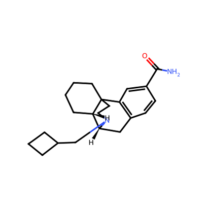 NC(=O)c1ccc2c(c1)C13CCCC[C@H]1[C@@H](C2)N(CC1CCC1)CC3